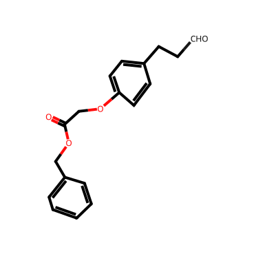 O=CCCc1ccc(OCC(=O)OCc2ccccc2)cc1